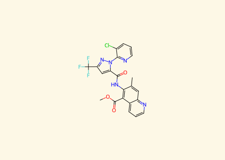 COC(=O)c1c(NC(=O)c2cc(C(F)(F)F)nn2-c2ncccc2Cl)c(C)cc2ncccc12